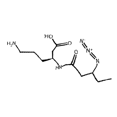 CCC(CC(=O)N[C@@H](CCCN)C(=O)O)N=[N+]=[N-]